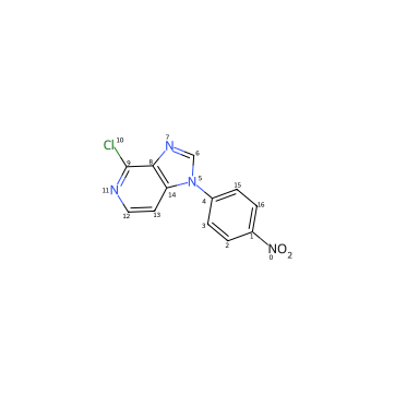 O=[N+]([O-])c1ccc(-n2cnc3c(Cl)nccc32)cc1